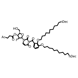 CCCCCCCCCCCCCCCCCCCCOc1cccc(C(=O)n2c(=O)ccn([C@@H]3O[C@H](CO)[C@H](OC(=O)CCC(C)=O)C3F)c2=O)c1OCCCCCCCCCCCCCCCCCCCC